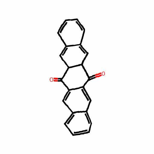 O=C1c2cc3ccccc3cc2C(=O)C2C=c3ccccc3=CC12